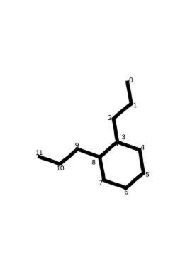 CCC[C]1CCCCC1CCC